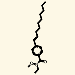 CCCCCCCCC=Cc1ccc(C(=O)N(CC)OC)cc1